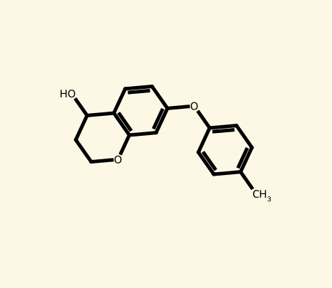 Cc1ccc(Oc2ccc3c(c2)OCCC3O)cc1